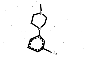 CN1CCN(c2cc[c]c([N+](=O)[O-])c2)CC1